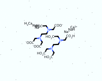 O=C(O)CN(CCN(CC(=O)O)CC(=O)O)CC(=O)O.O=C([O-])CN(CCN(CC(=O)[O-])CC(=O)[O-])CC(=O)[O-].[Ca+2].[CaH2].[Na+].[Na+].[NaH].[NaH]